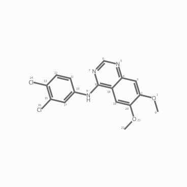 COc1cc2ncnc(Nc3ccc(Cl)c(Cl)c3)c2cc1OC